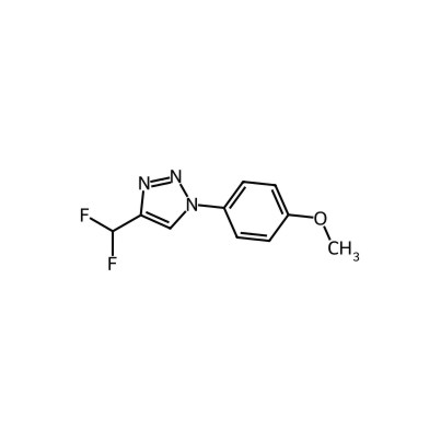 COc1ccc(-n2cc(C(F)F)nn2)cc1